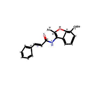 COc1cccc2c(NC(=O)/C=C/c3ccccc3)c(C(C)=O)oc12